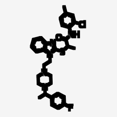 Cc1ccc(NC(=O)C(C)Sc2nc3ccccc3n2CCN2CCN(C(C)c3ccc(F)cc3)CC2)c(Cl)c1